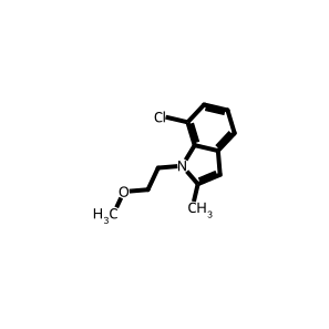 COCCn1c(C)cc2cccc(Cl)c21